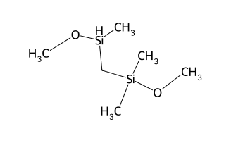 CO[SiH](C)C[Si](C)(C)OC